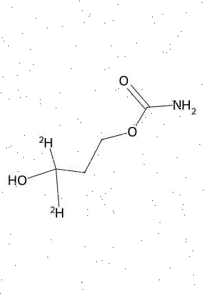 [2H]C([2H])(O)CCOC(N)=O